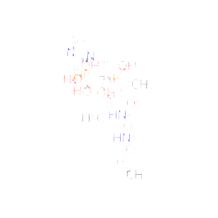 CCCC(C)(ONONOCC)[P@@](O)C(O)(Cn1ccnc1)[PH](O)(O)O